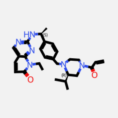 C=CC(=O)N1CCN(Cc2ccc([C@H](C)Nc3ncc4ccc(=O)n(CC)c4n3)cc2)[C@H](C(C)C)C1